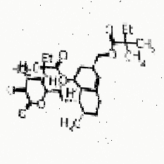 CCC(C)(C)C(=O)OC[C@H]1C=C2CC[C@H](C)[C@H](CC[C@@H]3C[C@@H](O)C(=O)C(=O)O3)[C@H]2[C@@H](OC(=O)C(C)(C)CC)C1